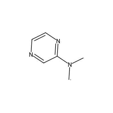 [CH2]N(C)c1cnccn1